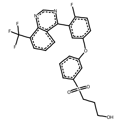 O=S(=O)(CCCO)c1cccc(Oc2ccc(F)c(-c3ncnc4c(C(F)(F)F)cccc34)c2)c1